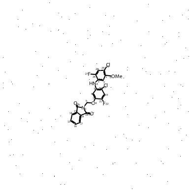 COc1cc(Nc2cc(OCN3C(=O)c4ccccc4C3=O)c(F)cc2Cl)c(F)cc1Cl